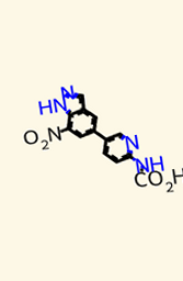 O=C(O)Nc1ccc(-c2cc([N+](=O)[O-])c3[nH]ncc3c2)cn1